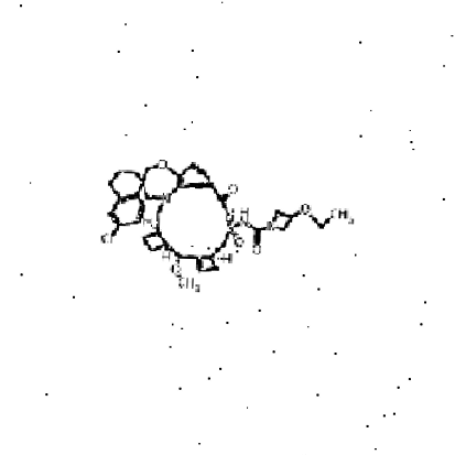 CCOC1CN(C(=O)NS2(=O)=NC(=O)c3ccc4c(c3)N(C[C@@H]3CC[C@H]3[C@@H](OC)C3=CC[C@@H]3C2)C[C@@]2(CCCc3cc(Cl)ccc32)CO4)C1